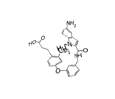 Cc1cc(Oc2cccc(CNC(=O)c3cc4cc(N)ccc4n3C)c2)ccc1CCC(=O)O